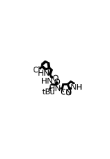 CC(C)(C)C[C@H](NC(=O)c1cc2cccc(Cl)c2[nH]1)C(=O)N[C@H](C#N)CC1CCNC1=O